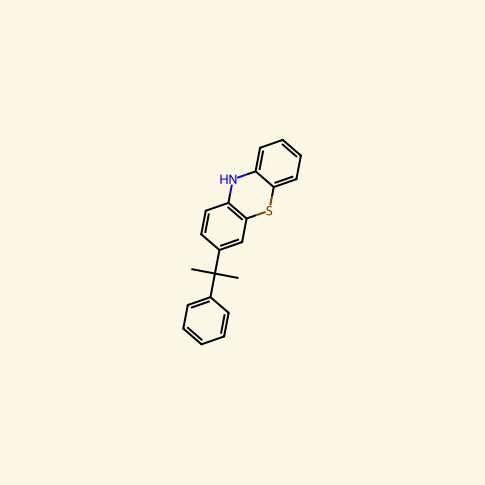 CC(C)(c1ccccc1)c1ccc2c(c1)Sc1ccccc1N2